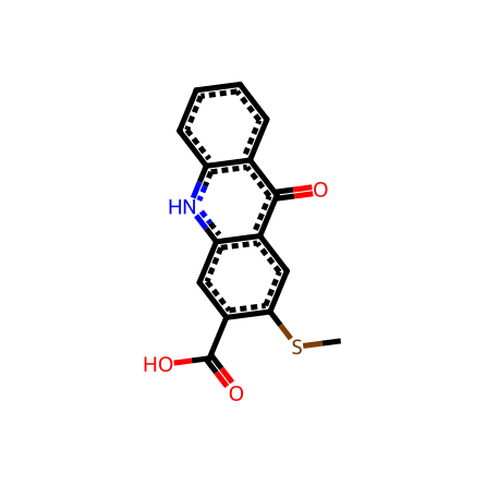 CSc1cc2c(=O)c3ccccc3[nH]c2cc1C(=O)O